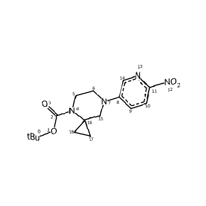 CC(C)(C)OC(=O)N1CCN(c2ccc([N+](=O)[O-])nc2)CC12CC2